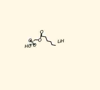 CCCCCC(=O)OCS(=O)(=O)O.[LiH]